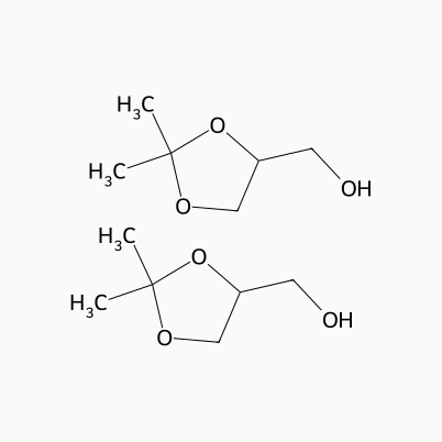 CC1(C)OCC(CO)O1.CC1(C)OCC(CO)O1